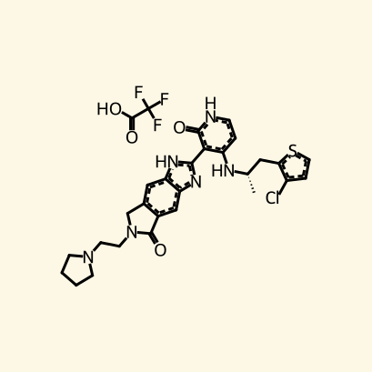 C[C@@H](Cc1sccc1Cl)Nc1cc[nH]c(=O)c1-c1nc2cc3c(cc2[nH]1)CN(CCN1CCCC1)C3=O.O=C(O)C(F)(F)F